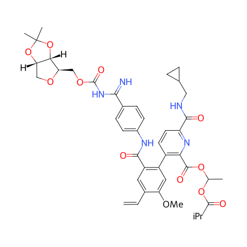 C=Cc1cc(C(=O)Nc2ccc(C(=N)NC(=O)OC[C@H]3OC[C@@H]4OC(C)(C)O[C@@H]43)cc2)c(-c2ccc(C(=O)NCC3CC3)nc2C(=O)OC(C)OC(=O)C(C)C)cc1OC